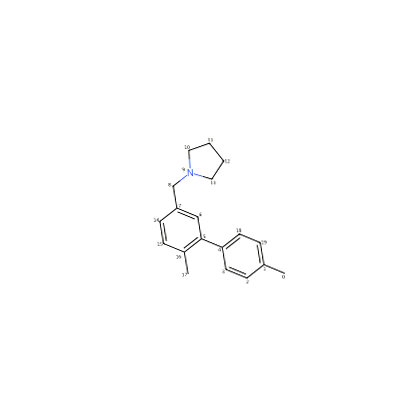 Cc1ccc(-c2cc(CN3CCCC3)ccc2C)cc1